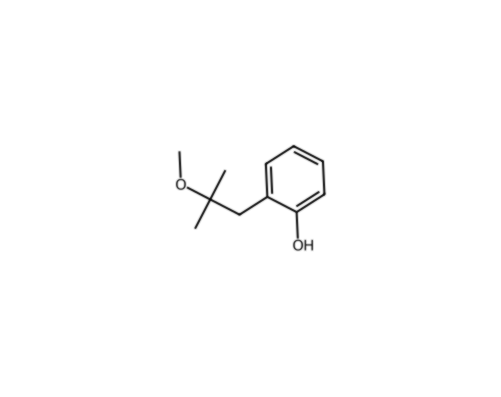 COC(C)(C)Cc1ccccc1O